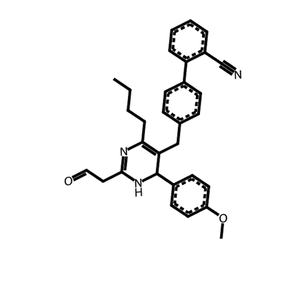 CCCCC1=C(Cc2ccc(-c3ccccc3C#N)cc2)C(c2ccc(OC)cc2)NC(CC=O)=N1